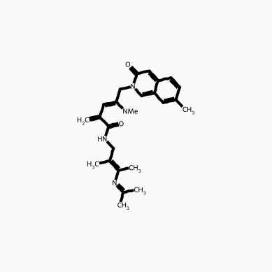 C=C(/C=C(/Cn1cc2cc(C)ccc2cc1=O)NC)C(=O)NC/C(C)=C(\C)N=C(C)C